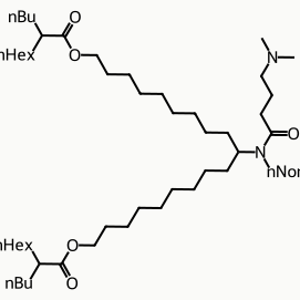 CCCCCCCCCN(C(=O)CCCN(C)C)C(CCCCCCCCCOC(=O)C(CCCC)CCCCCC)CCCCCCCCCOC(=O)C(CCCC)CCCCCC